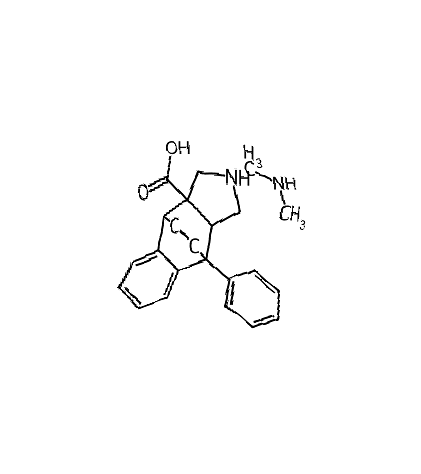 CNC.O=C(O)C12CNCC1C1(c3ccccc3)CCC2c2ccccc21